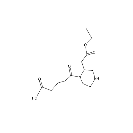 CCOC(=O)CC1CNCCN1C(=O)CCCC(=O)O